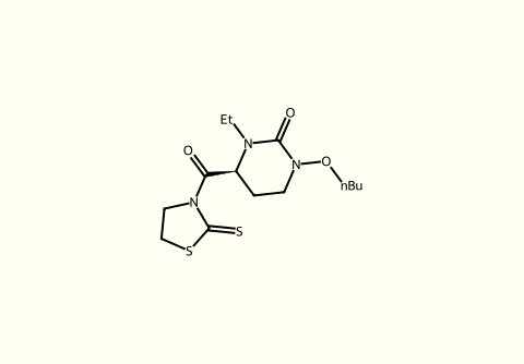 CCCCON1CC[C@@H](C(=O)N2CCSC2=S)N(CC)C1=O